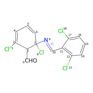 O=CC1C(Cl)=CC=CC1(Cl)/N=C/c1c(Cl)cccc1Cl